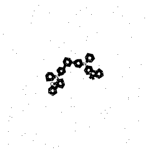 CC1(C)c2ccccc2-c2cc(N(c3ccccc3)c3ccc(-c4cccc(-c5ccc(N(c6ccccc6)c6cccc7c6oc6ccccc67)cc5)c4)cc3)ccc21